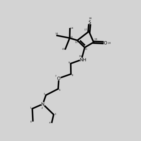 CCN(CC)CCOCCNc1c(C(C)(C)C)c(=S)c1=O